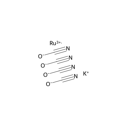 N#C[O-].N#C[O-].N#C[O-].N#C[O-].[K+].[Ru+3]